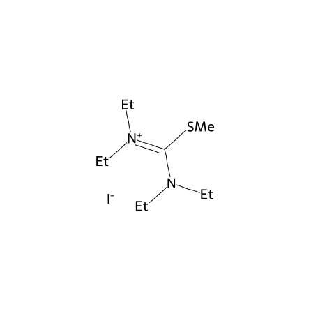 CCN(CC)C(SC)=[N+](CC)CC.[I-]